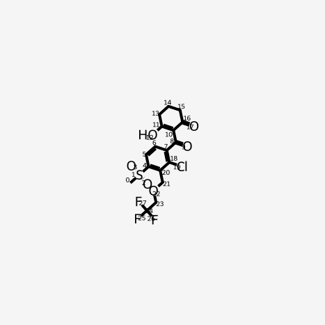 CS(=O)(=O)c1ccc(C(=O)C2=C(O)CCCC2=O)c(Cl)c1COCC(F)(F)F